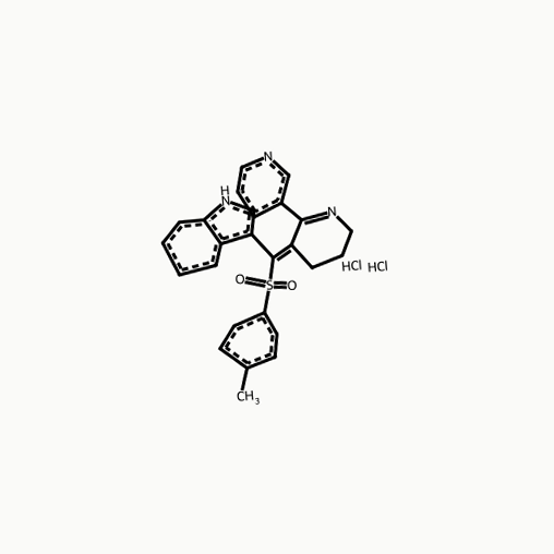 Cc1ccc(S(=O)(=O)C(=C2CCCN=C2c2cccnc2)c2c[nH]c3ccccc23)cc1.Cl.Cl